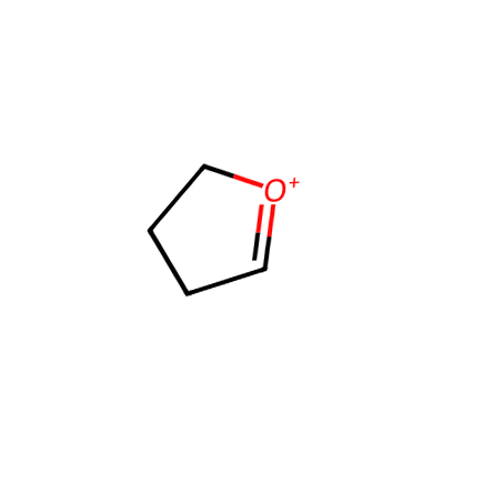 C1=[O+]CCC1